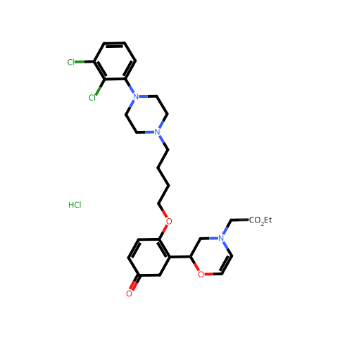 CCOC(=O)CN1C=COC(C2=C(OCCCCN3CCN(c4cccc(Cl)c4Cl)CC3)C=CC(=O)C2)C1.Cl